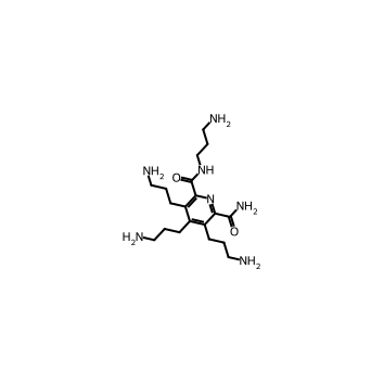 NCCCNC(=O)c1nc(C(N)=O)c(CCCN)c(CCCN)c1CCCN